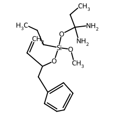 C=CC(Cc1ccccc1)O[Si](CCC)(OC)OC(N)(N)CC